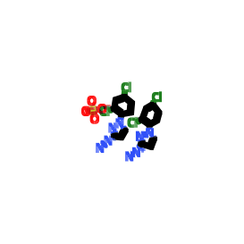 N#[N+]c1ccn(-c2ccc(Cl)cc2Cl)n1.N#[N+]c1ccn(-c2ccc(Cl)cc2Cl)n1.O=S(=O)([O-])[O-]